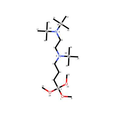 CO[Si](CCCN(CCN([Si](C)(C)C)[Si](C)(C)C)[Si](C)(C)C)(OC)OC